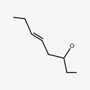 CCC=CCC([O])CC